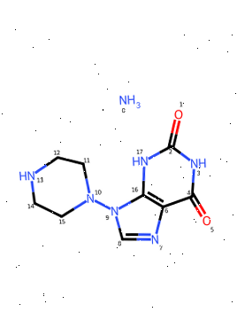 N.O=c1[nH]c(=O)c2ncn(N3CCNCC3)c2[nH]1